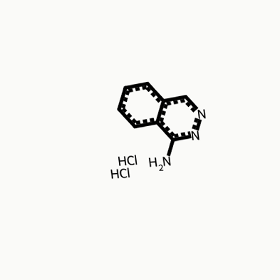 Cl.Cl.Nc1nncc2ccccc12